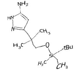 CC(C)(CO[Si](C)(C)C(C)(C)C)c1cc(N)[nH]n1